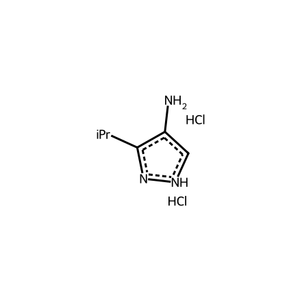 CC(C)c1n[nH]cc1N.Cl.Cl